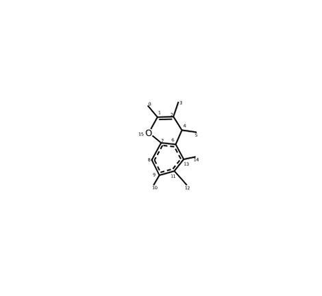 CC1=C(C)C(C)c2c(cc(C)c(C)c2C)O1